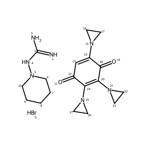 Br.N=C(N)NN1CCCCC1.O=C1C=C(N2CC2)C(=O)C(N2CC2)=C1N1CC1